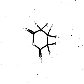 O=C1OC(=O)C(F)(F)C(F)(F)C1(F)F